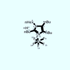 CCCCCCn1c(CCCC)nc(CCCC)c1CCCC.F[P-](F)(F)(F)(F)F.[H+]